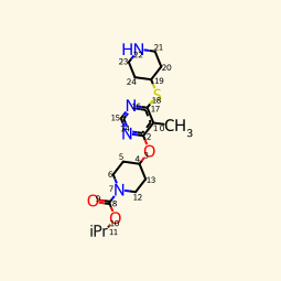 Cc1c(OC2CCN(C(=O)OC(C)C)CC2)ncnc1SC1CCNCC1